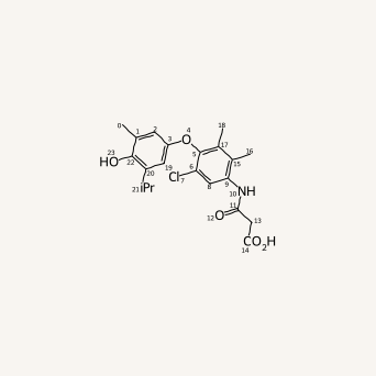 Cc1cc(Oc2c(Cl)cc(NC(=O)CC(=O)O)c(C)c2C)cc(C(C)C)c1O